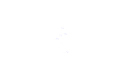 c1cc(Nn2cncn2)ccn1